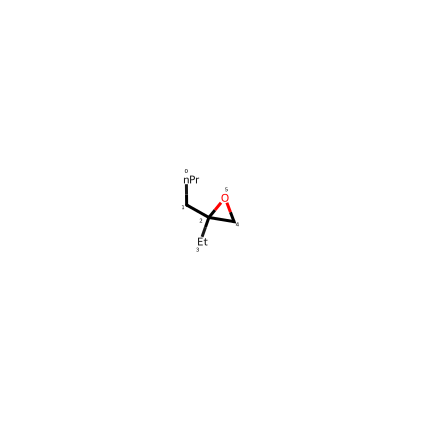 CCCCC1(CC)CO1